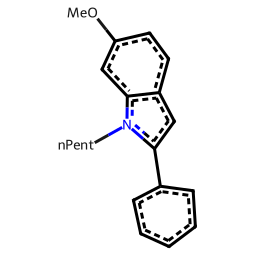 CCCCCn1c(-c2ccccc2)cc2ccc(OC)cc21